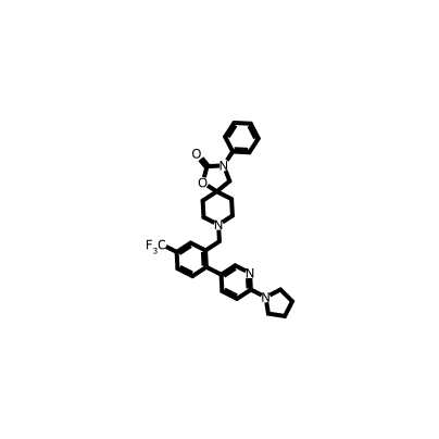 O=C1OC2(CCN(Cc3cc(C(F)(F)F)ccc3-c3ccc(N4CCCC4)nc3)CC2)CN1c1ccccc1